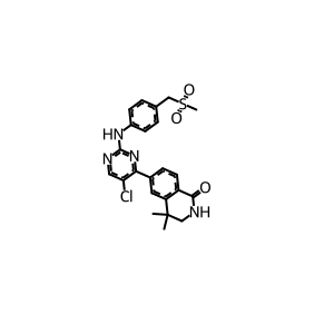 CC1(C)CNC(=O)c2ccc(-c3nc(Nc4ccc(CS(C)(=O)=O)cc4)ncc3Cl)cc21